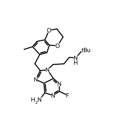 Cc1cc2c(cc1Cc1nc3c(N)nc(F)nc3n1CCCNC(C)(C)C)OCCO2